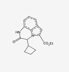 CCOC(=O)c1cc2cccc3c2n1C(C1CCC1)C(=O)N3